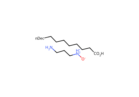 CCCCCCCCCCCCCCCCCC(=O)O.NCCC[NH2+][O-]